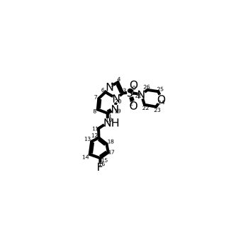 O=S(=O)(c1cnc2ccc(NCc3ccc(F)cc3)nn12)N1CCOCC1